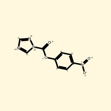 O=C(Oc1ccc([N+](=O)[O-])cc1)n1cncn1